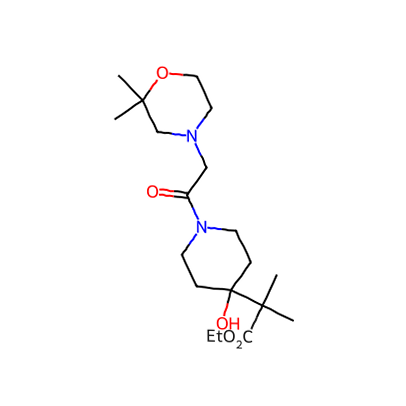 CCOC(=O)C(C)(C)C1(O)CCN(C(=O)CN2CCOC(C)(C)C2)CC1